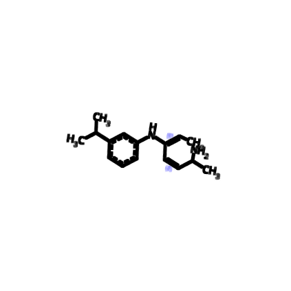 C/C=C(\C=C/C(C)N)Nc1cccc(C(C)C)c1